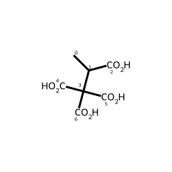 CC(C(=O)O)C(C(=O)O)(C(=O)O)C(=O)O